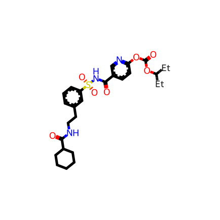 CCC(CC)OC(=O)Oc1ccc(C(=O)NS(=O)(=O)c2cccc(CCNC(=O)C3CCCCC3)c2)cn1